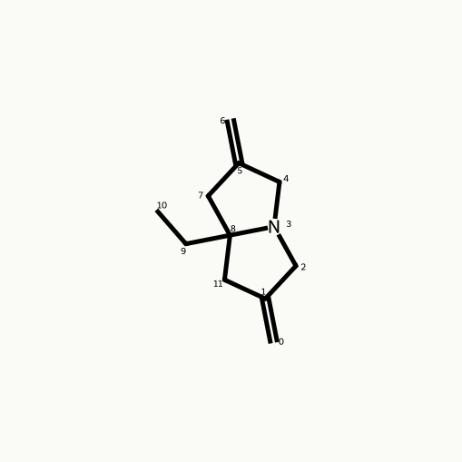 C=C1CN2CC(=C)CC2(CC)C1